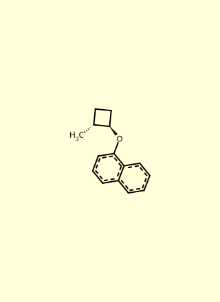 C[C@@H]1CC[C@H]1Oc1cccc2ccccc12